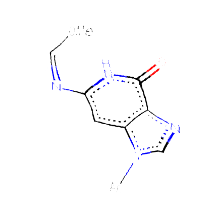 CO/C=N\c1cc2c(ncn2C(C)=O)c(=O)[nH]1